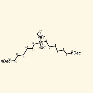 CCCCCCCCCCCCCCCC[N+](CCC)(CCC)CCCCCCCCCCCCCCCC.[Cl-]